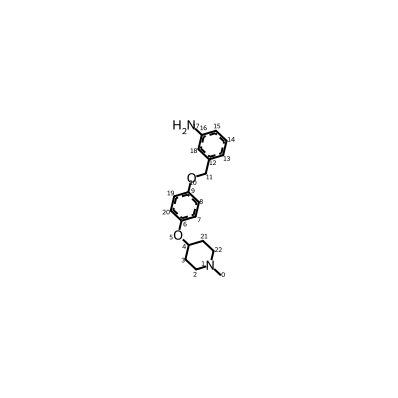 CN1CCC(Oc2ccc(OCc3cccc(N)c3)cc2)CC1